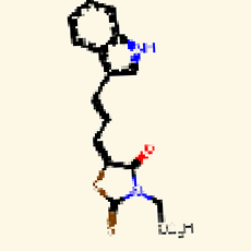 O=C(O)CN1C(=O)C(=CC=Cc2c[nH]c3ccccc23)SC1=S